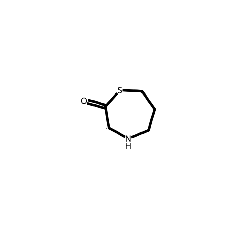 O=C1[CH]NCCCS1